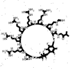 CC(C)C(=O)CNC(=O)C1CSc2c(F)c(F)c(c(F)c2F)-c2c(F)c(F)c(c(F)c2F)SCC(NS)C(=O)NC(CCCNC(=N)N)C(=O)NC(CCCNC(=N)N)C(=O)NC(CCCNC(=N)N)C(=O)NC(CCCNC(=N)N)C(=O)NC(CCCNC(=N)N)C(=O)NC(CCCNC=N)C(=O)N1